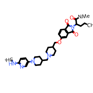 CNC(=O)C(CCC=O)N1C(=O)c2ccc(OCC3CCN(CC4CCN(c5ccc(NC=O)nc5)CC4)CC3)cc2C1=O